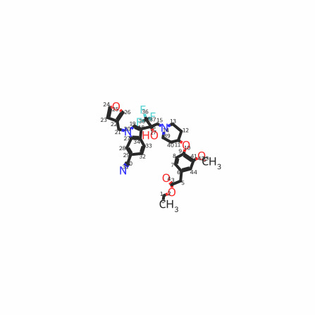 CCOC(=O)Cc1ccc(OC2CCN(CC(O)(c3cn(Cc4ccoc4)c4cc(C#N)ccc34)C(F)(F)F)CC2)c(OC)c1